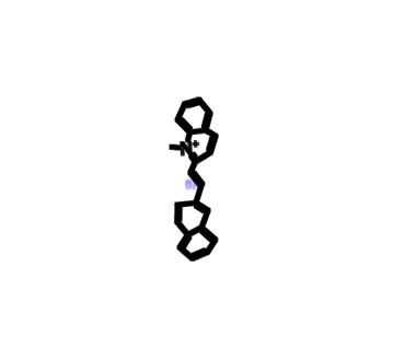 C[n+]1c(/C=C/c2ccc3ccccc3c2)ccc2ccccc21